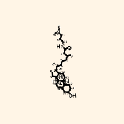 CC(CCC[C@@H](C)[C@H]1CC[C@H]2[C@@H]3CC=C4C[C@@H](O)CC[C@]4(C)[C@H]3CC[C@]12C)CC(=O)NCCCN(C)C